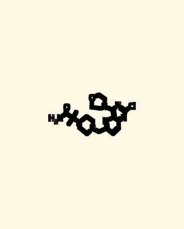 CC(C)(C(N)=O)N1CCN(Cc2ccc3nc(Cl)nc(N4CCOCC4)c3n2)CC1